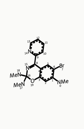 CNc1cc2c(cc1Br)C(c1ccccn1)=NC(NC)(NC)O2